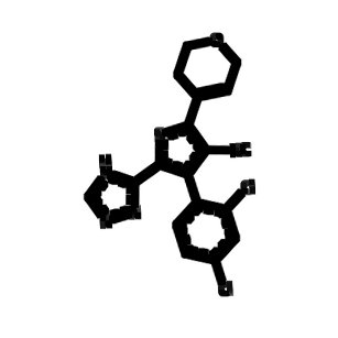 [C-]#[N+]c1c(C2=CCOCC2)sc(-c2nnc[nH]2)c1-c1ccc(Cl)cc1Cl